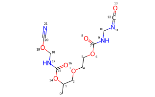 CC(COCCOC(=O)NCN=C=O)OC(=O)NCOC#N